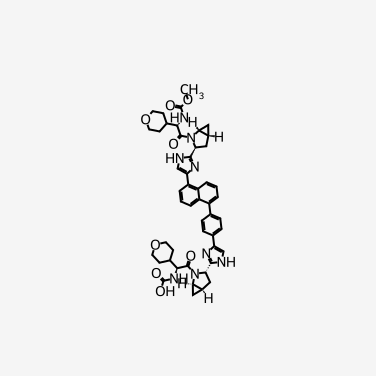 COC(=O)N[C@H](C(=O)N1[C@@H]2C[C@@H]2C[C@H]1c1nc(-c2cccc3c(-c4ccc(-c5c[nH]c([C@@H]6C[C@H]7C[C@H]7N6C(=O)[C@@H](NC(=O)O)C6CCOCC6)n5)cc4)cccc23)c[nH]1)C1CCOCC1